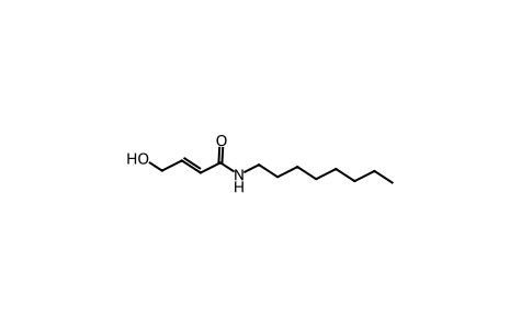 CCCCCCCCNC(=O)/C=C/CO